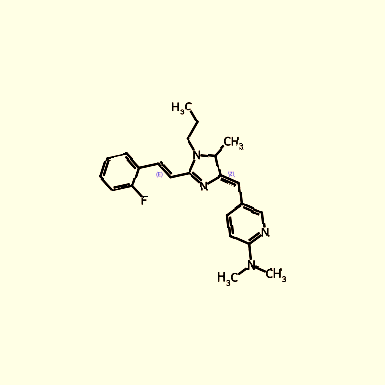 CCCN1C(/C=C/c2ccccc2F)=NC(=C\c2ccc(N(C)C)nc2)/C1C